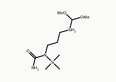 COC(OC)[SiH2]CCCN(C(N)=O)[Si](C)(C)C